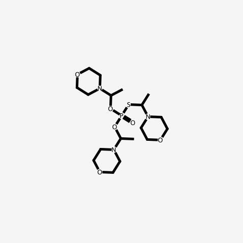 CC(OP(=O)(OC(C)N1CCOCC1)SC(C)N1CCOCC1)N1CCOCC1